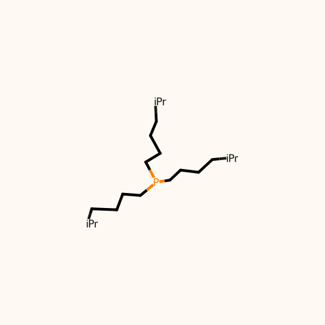 CC(C)CCCCP(CCCCC(C)C)CCCCC(C)C